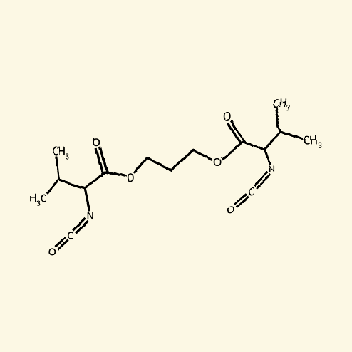 CC(C)C(N=C=O)C(=O)OCCCOC(=O)C(N=C=O)C(C)C